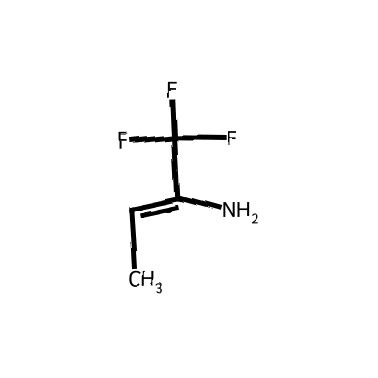 CC=C(N)C(F)(F)F